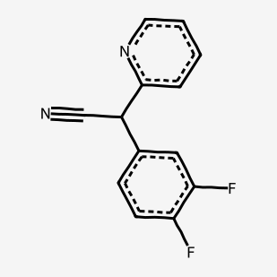 N#CC(c1ccc(F)c(F)c1)c1ccccn1